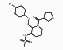 CC(C)[C@H]1CC[C@@H](OCC2C(NS(C)(=O)=O)CCCN2C(=O)C2CCOC2)CC1